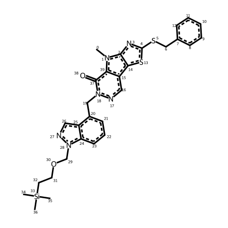 Cn1c2nc(SCc3ccccc3)sc2c2cnn(Cc3cccc4c3cnn4COCC[Si](C)(C)C)c(=O)c21